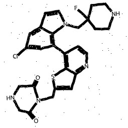 O=C1CNCC(=O)N1Cc1cc2nccc(-c3cc(Cl)cc4ccn(CC5(F)CCNCC5)c34)c2s1